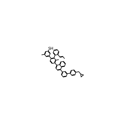 C/C=C/c1ccccc1-c1c(-c2cc(C)cc(S)c2)ccc(-c2ccc(-c3cccc(-c4ccc(CC5CC5)cc4)c3)c3ccccc23)c1C